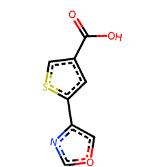 O=C(O)c1csc(-c2cocn2)c1